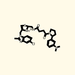 Cc1nc2cc(Cl)ccc2n1CC1=CSC(CNC(=O)CCC(=O)N2CCCC2c2cccc(N(C)C)c2)N1